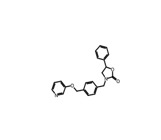 O=C1OC(c2ccccc2)CN1Cc1ccc(COc2cccnc2)cc1